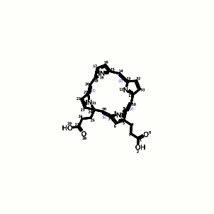 O=C(O)CCc1c/c2[nH]/c1=C\C1=NC(=C\c3ccc([nH]3)/C=C3/C=CC(CCC(=O)O)(/C=2)N3)/C=C1